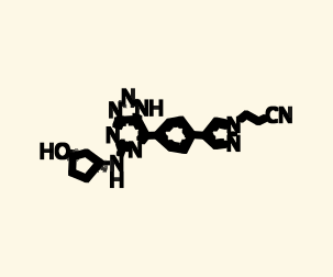 N#CCCn1cc(-c2ccc(-c3nc(N[C@@H]4CC[C@@H](O)C4)nc4nn[nH]c34)cc2)cn1